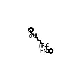 O=C(NCCCCCCNC(=O)C1NCc2ccccc21)c1ccccn1